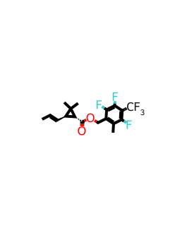 CC=C[C@@H]1[C@@H](C(=O)OCc2c(C)c(F)c(C(F)(F)F)c(F)c2F)C1(C)C